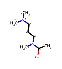 CC(O)N(C)CCCN(C)C